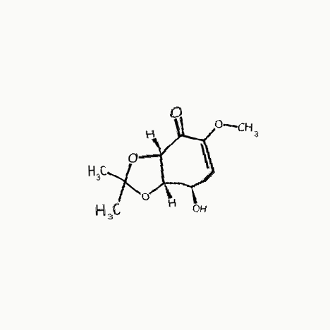 COC1=C[C@@H](O)[C@@H]2OC(C)(C)O[C@@H]2C1=O